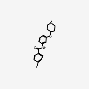 CN1CCC(Oc2cccc(NC(=O)c3ccc(F)cc3)c2)CC1